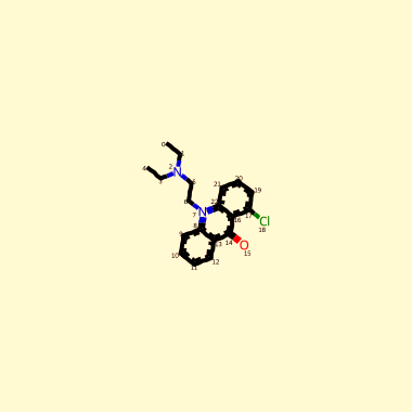 CCN(CC)CCn1c2ccccc2c(=O)c2c(Cl)cccc21